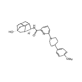 COc1ccc(C2CCN(c3cccc(C(=O)N[C@H]4C5CC6CC4C[C@](O)(C6)C5)n3)CC2)cc1